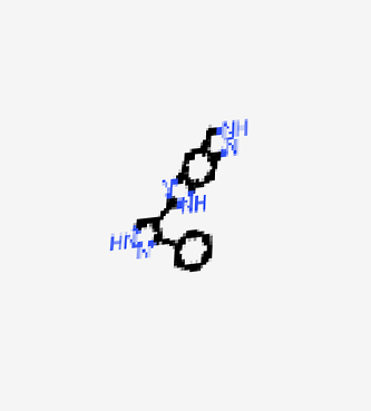 c1ccc(-c2n[nH]cc2-c2nc3cc4c[nH]nc4cc3[nH]2)cc1